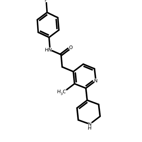 Cc1c(CC(=O)Nc2ccc(F)cc2)ccnc1C1=CCNCC1